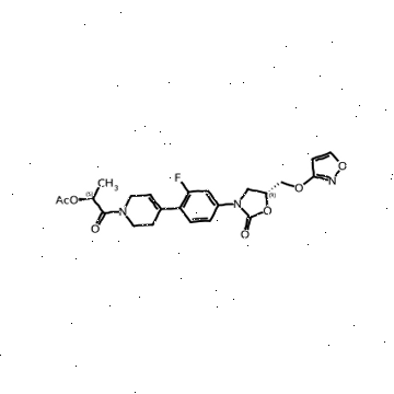 CC(=O)O[C@@H](C)C(=O)N1CC=C(c2ccc(N3C[C@H](COc4ccon4)OC3=O)cc2F)CC1